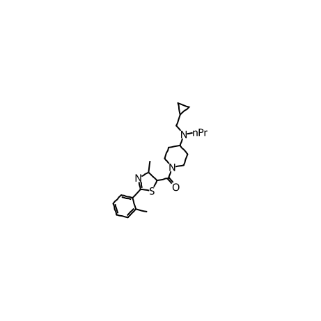 CCCN(CC1CC1)C1CCN(C(=O)C2SC(c3ccccc3C)=NC2C)CC1